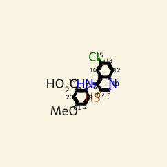 COc1ccc(Nc2c(S)cnc3ccc(Cl)cc23)c(C(=O)O)c1